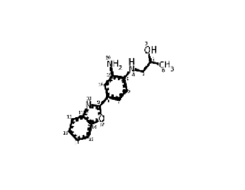 CC(O)CNc1ccc(-c2nc3ccccc3o2)cc1N